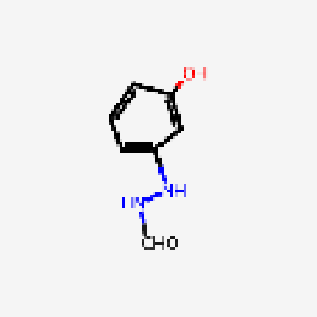 O=CNNc1cccc(O)c1